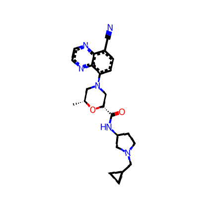 C[C@@H]1CN(c2ccc(C#N)c3nccnc23)C[C@H](C(=O)NC2CCN(CC3CC3)C2)O1